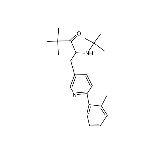 Cc1ccccc1-c1ccc(CC(NC(C)(C)C)C(=O)C(C)(C)C)cn1